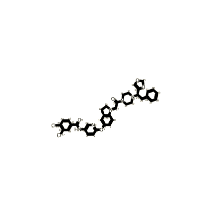 O=C(Nc1ccc(Oc2ccc3c(c2)CCN3CC(=O)N2CCN(C(Cc3ccccc3)C3=COCO3)CC2)nc1)c1ccc(Cl)c(Cl)c1